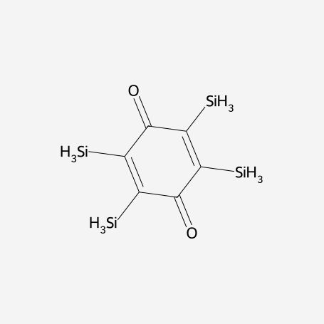 O=C1C([SiH3])=C([SiH3])C(=O)C([SiH3])=C1[SiH3]